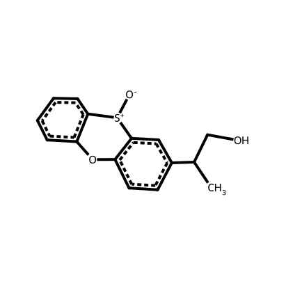 CC(CO)c1ccc2c(c1)[S+]([O-])c1ccccc1O2